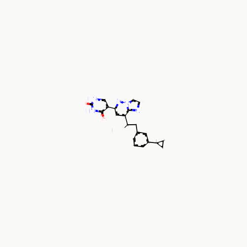 CC(Cc1cccc(C2CC2)c1)c1cc(-c2c[nH]c(=O)[nH]c2=O)nn2ccnc12